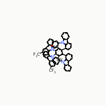 N#Cc1c(-c2cccc3c4ccccc4n(-c4ccccc4)c23)c(-c2cccc3c4ccccc4n(-c4ccccc4)c23)c(C#N)c(-n2c3ccccc3c3cc(C(F)(F)F)ccc32)c1-n1c2ccccc2c2cc(C(F)(F)F)ccc21